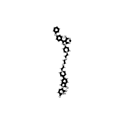 Nc1ncnc2c1c(-c1ccc(Oc3ccccc3)cc1)nn2C1CCN(CCOCCOCCN2CC=C(c3ccc4c(c3)CN(C3CCC(=O)NC3=O)C4=O)CC2)CC1